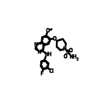 COc1cc2ncnc(Nc3ccc(F)c(Cl)c3)c2cc1OC1CCN(S(N)(=O)=O)CC1